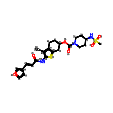 CS(=O)(=O)NC1CCN(C(=O)OC2CCc3c(sc(NC(=O)C=Cc4ccoc4)c3C#N)C2)CC1